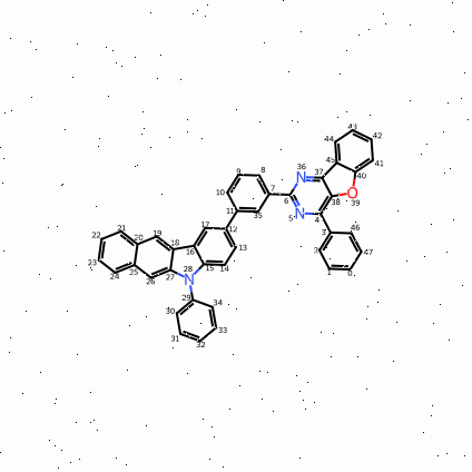 c1ccc(-c2nc(-c3cccc(-c4ccc5c(c4)c4cc6ccccc6cc4n5-c4ccccc4)c3)nc3c2oc2ccccc23)cc1